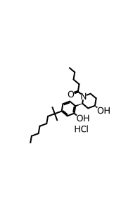 CCCCCCC(C)(C)c1ccc([C@@H]2C[C@H](O)CCN2C(=O)CCCC)c(O)c1.Cl